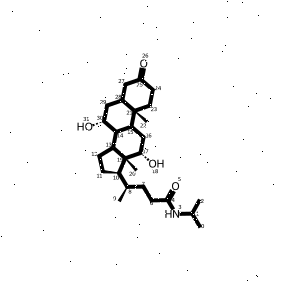 CC(C)NC(=O)CC[C@@H](C)[C@H]1CCC2C3C(C[C@H](O)[C@@]21C)[C@@]1(C)CCC(=O)CC1C[C@H]3O